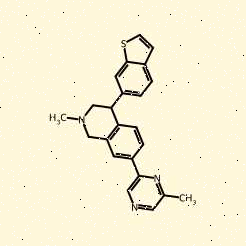 Cc1cncc(-c2ccc3c(c2)CN(C)CC3c2ccc3ccsc3c2)n1